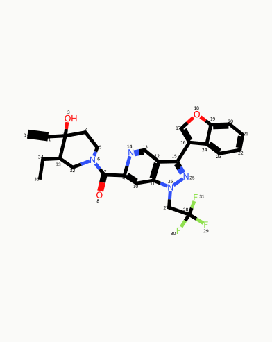 C#CC1(O)CCN(C(=O)c2cc3c(cn2)c(-c2coc4ccccc24)nn3CC(F)(F)F)CC1CC